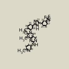 Cc1ccc(Nc2ncc3c(n2)N(C)C(=O)N(c2cc(-c4ncc(-c5cccc(C(F)(F)F)c5)[nH]4)ccc2C)C3)cn1